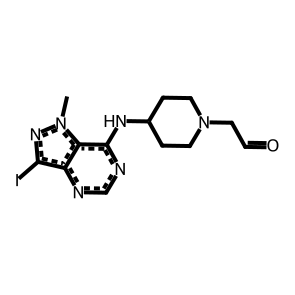 Cn1nc(I)c2ncnc(NC3CCN(CC=O)CC3)c21